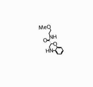 COCCNC(=O)[C@H]1CNc2ccccc2O1